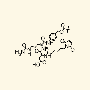 CC(C)(C)C(=O)OCc1ccc(NC(=O)[C@H](CCCNC(N)=O)NC(=O)[C@H](CC(=O)O)NC(=O)CCCCCN2C(=O)C=CC2=O)cc1